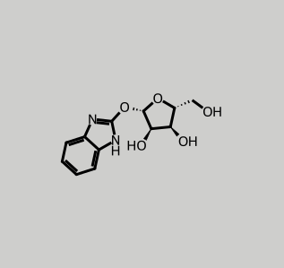 OC[C@H]1O[C@@H](Oc2nc3ccccc3[nH]2)[C@H](O)[C@@H]1O